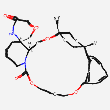 O=C1COC[C@]2(CCCN3C(=O)OCCCOc4cccc(c4)[C@H]4CC[C@H](CC4)OC[C@@H]32)N1